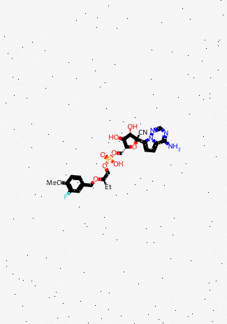 CC[C@H](COP(=O)(O)OC[C@H]1O[C@@](C#N)(c2ccc3c(N)ncnn23)[C@@H](O)C1O)OCc1ccc(OC)c(F)c1